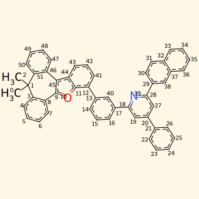 CC1(C)c2ccccc2-c2oc3c(-c4cccc(-c5cc(-c6ccccc6)cc(-c6ccc7ccccc7c6)n5)c4)cccc3c2-c2ccccc21